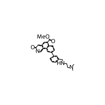 COC(=O)c1cc2c(c3cc(-c4cccc(CNCCN(C)C)c4)ccc13)=C[N]C(=O)C=2